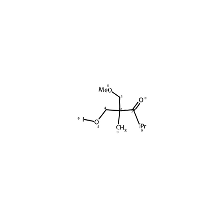 COCC(C)(COI)C(=O)C(C)C